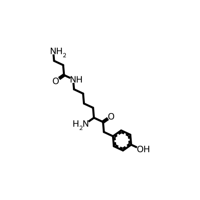 NCCC(=O)NCCCCC(N)C(=O)Cc1ccc(O)cc1